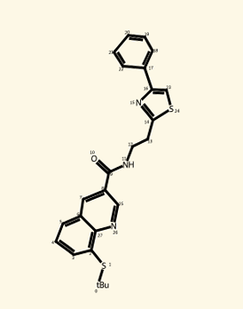 CC(C)(C)Sc1cccc2cc(C(=O)NCCc3nc(-c4ccccc4)cs3)cnc12